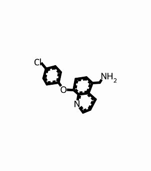 NCc1ccc(Oc2ccc(Cl)cc2)c2ncccc12